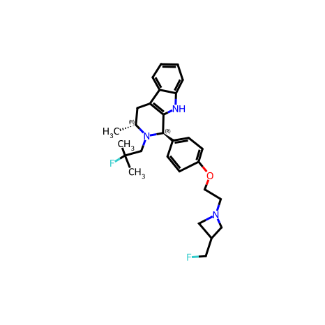 C[C@@H]1Cc2c([nH]c3ccccc23)[C@@H](c2ccc(OCCN3CC(CF)C3)cc2)N1CC(C)(C)F